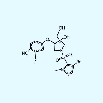 Cn1ncc(Br)c1S(=O)(=O)N1CC(Oc2ccc(C#N)c(F)c2)[C@](O)(CO)C1